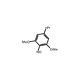 CCCc1cc(OC)c(N=O)c(OC)c1